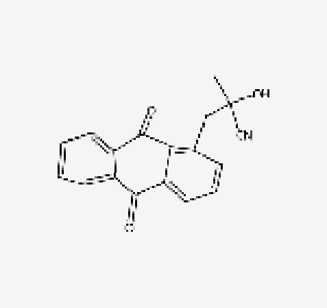 CC(O)(C#N)Cc1cccc2c1C(=O)c1ccccc1C2=O